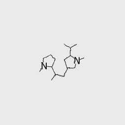 CC(C)C1CC(CC(C)C2CCCN2C)CN1C